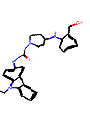 CCn1c2ccccc2c2cc(NC(=O)CN3CCC(Nc4ccccc4CO)CC3)ccc21